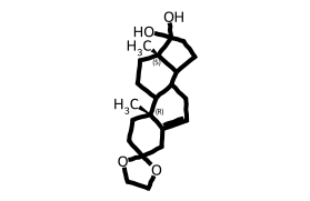 C[C@]12CCC3(CC1=CCC1C2CC[C@@]2(C)C1CCC2(O)O)OCCO3